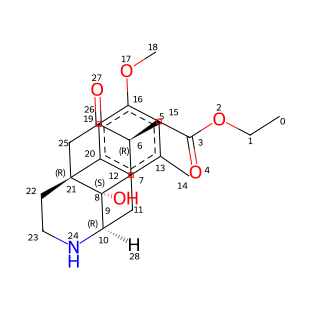 CCOC(=O)C[C@H]1C[C@@]2(O)[C@H]3Cc4c(C)cc(OC)cc4[C@@]2(CCN3)CC1=O